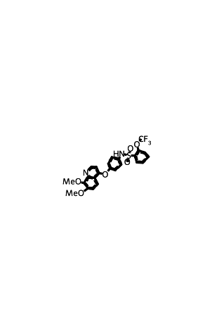 COc1ccc2c(Oc3ccc(NS(=O)(=O)c4ccccc4OC(F)(F)F)cc3)ccnc2c1OC